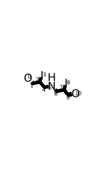 O=CC(I)CNCC(I)C=O